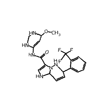 COC1C=C(NC(=O)C2=CNC3C=CC(c4ccccc4C(F)(F)F)NN23)NCN1